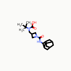 CC(C)(C)N(CC1CN(C(=O)NC2C3CC4CC(C3)CC2C4)C1)C(=O)O